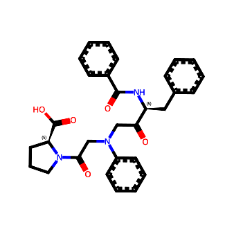 O=C(N[C@@H](Cc1ccccc1)C(=O)CN(CC(=O)N1CCC[C@H]1C(=O)O)c1ccccc1)c1ccccc1